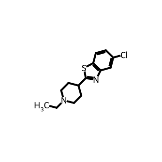 CCN1CCC(c2nc3cc(Cl)ccc3s2)CC1